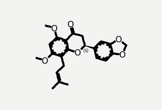 COc1cc(OC)c2c(c1CC=C(C)C)O[C@H](c1ccc3c(c1)OCO3)CC2=O